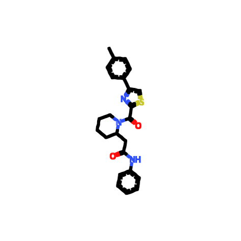 Cc1ccc(-c2csc(C(=O)N3CCCCC3CC(=O)Nc3ccccc3)n2)cc1